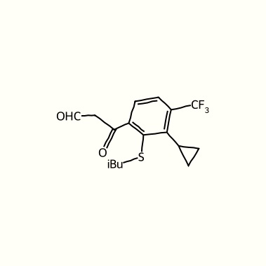 CCC(C)Sc1c(C(=O)CC=O)ccc(C(F)(F)F)c1C1CC1